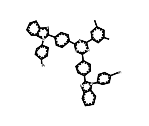 Cc1cc(C)cc(-c2nc(-c3ccc(-c4nc5ccccc5n4-c4ccc(C(C)C)cc4)cc3)nc(-c3ccc(-c4nc5ccccc5n4-c4ccc(C(C)C)cc4)cc3)n2)c1